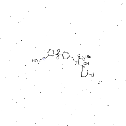 CC(C)(C)OC(=O)N(CCc1ccc(S(=O)(=O)c2cccc(/C=C/C(=O)O)c2)cc1)C[C@H](O)c1cccc(Cl)c1